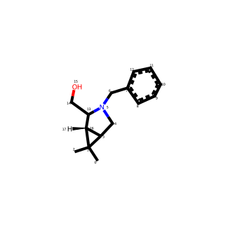 CC1(C)C2CN(Cc3ccccc3)C(CO)[C@H]21